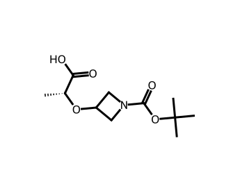 C[C@@H](OC1CN(C(=O)OC(C)(C)C)C1)C(=O)O